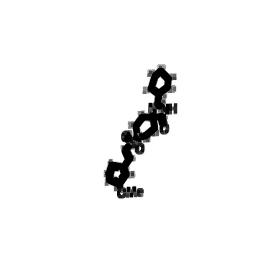 COc1cccc(C=CS(=O)(=O)N2CCC3(CC2)N=C(C2CCCCC2)NC3=O)c1